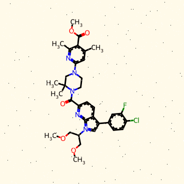 COCC(COC)n1cc(-c2ccc(Cl)c(F)c2)c2ccc(C(=O)N3CCN(c4cc(C)c(C(=O)OC)c(C)n4)CC3(C)C)nc21